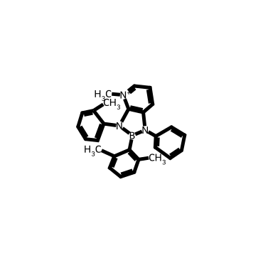 Cc1ccccc1N1B(c2c(C)cccc2C)N(c2ccccc2)c2ccc[n+](C)c21